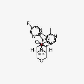 Cc1nccc(C(=O)N2[C@H]3COC[C@@H]2c2nnc(-c4ncc(F)cn4)n2C3)c1F